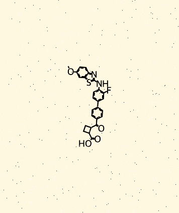 COc1ccc2nc(Nc3ccc(-c4ccc(C(=O)C5CCC5C(=O)O)cc4)cc3F)sc2c1